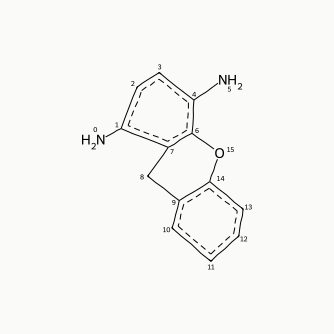 Nc1ccc(N)c2c1Cc1ccccc1O2